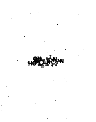 N#Cc1ccc2c(ccn2Cc2ccc(B(O)O)cc2)n1